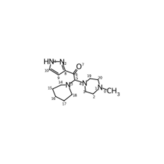 CN1CCN(C(C(=O)c2cc[nH]n2)N2CCCCC2)CC1